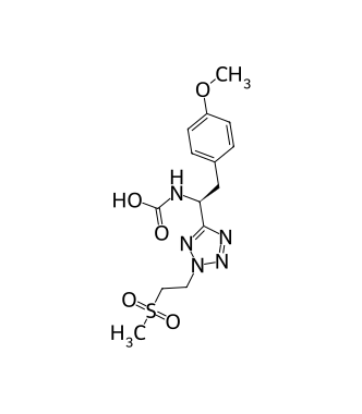 COc1ccc(C[C@H](NC(=O)O)c2nnn(CCS(C)(=O)=O)n2)cc1